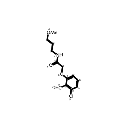 COCCCNC(=O)COc1cccc(Cl)c1C=O